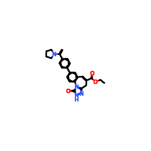 C=C(c1ccc(-c2ccc3c(c2)C=C(C(=O)OCC)Cc2n[nH]c(=O)n2-3)cc1)N1CCCC1